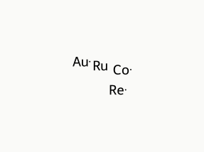 [Au].[Co].[Re].[Ru]